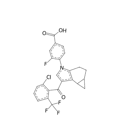 O=C(O)c1ccc(-n2cc(C(=O)c3c(Cl)cccc3C(F)(F)F)c3c2CCC2CC32)c(F)c1